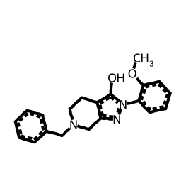 COc1ccccc1-n1nc2c(c1O)CCN(Cc1ccccc1)C2